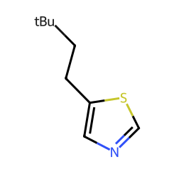 CC(C)(C)CCc1cncs1